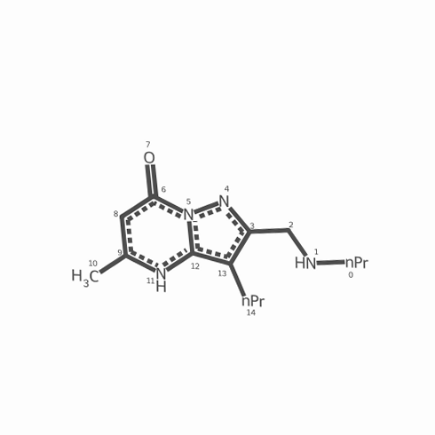 CCCNCc1nn2c(=O)cc(C)[nH]c2c1CCC